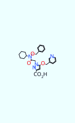 O=C(O)c1cc(OCc2cccnc2)n(CC(=O)N(OCc2ccccc2)C2CCCCC2)n1